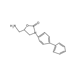 NCC1CN(c2ccc(-c3ccccc3)cc2)C(=O)O1